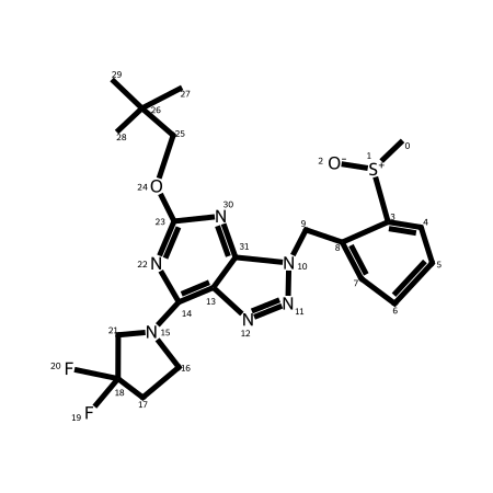 C[S+]([O-])c1ccccc1Cn1nnc2c(N3CCC(F)(F)C3)nc(OCC(C)(C)C)nc21